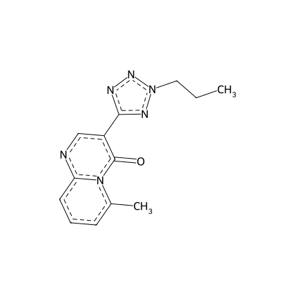 CCCn1nnc(-c2cnc3cccc(C)n3c2=O)n1